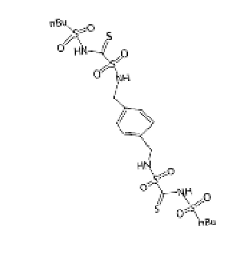 CCCCS(=O)(=O)NC(=S)S(=O)(=O)NCc1ccc(CNS(=O)(=O)C(=S)NS(=O)(=O)CCCC)cc1